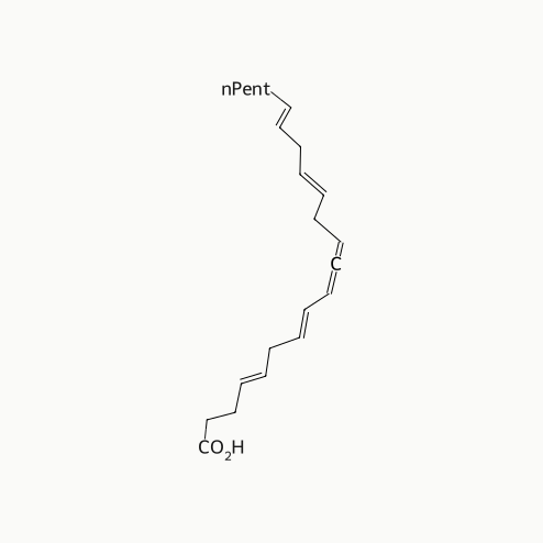 CCCCC/C=C/C/C=C/CC=C=C/C=C/C/C=C/CCC(=O)O